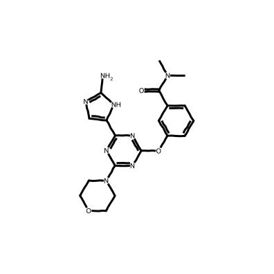 CN(C)C(=O)c1cccc(Oc2nc(-c3cnc(N)[nH]3)nc(N3CCOCC3)n2)c1